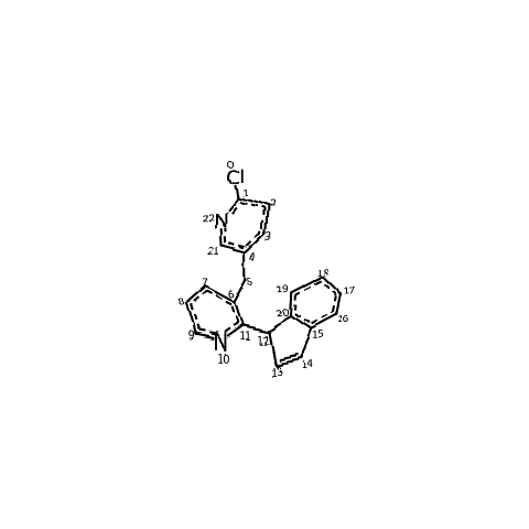 Clc1ccc(Cc2cccnc2C2C=Cc3ccccc32)cn1